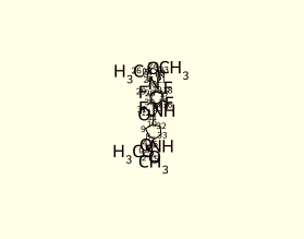 CC(C)S(=O)(=O)NC1CCC(C(=O)Nc2c(F)c(F)c(N3C[C@@H](C)O[C@@H](C)C3)c(F)c2F)CC1